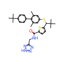 Cc1cc(SC(c2ccc(C(=O)NCc3nn[nH]n3)s2)C(C)(C)C)cc(C)c1-c1ccc(C(C)(C)C)cc1